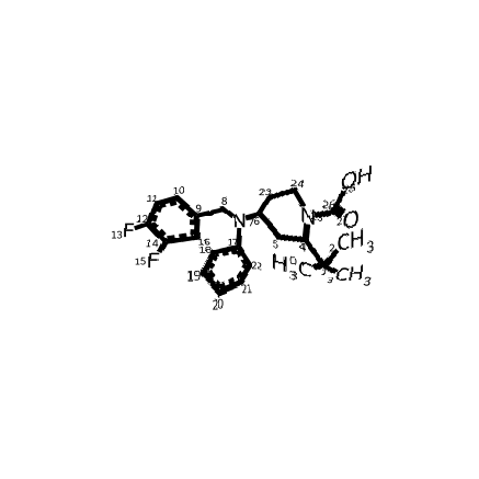 CC(C)(C)C1CC(N(Cc2ccc(F)c(F)c2)c2ccccc2)CCN1C(=O)O